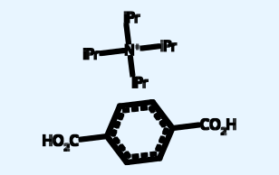 CC(C)[N+](C(C)C)(C(C)C)C(C)C.O=C(O)c1ccc(C(=O)O)cc1